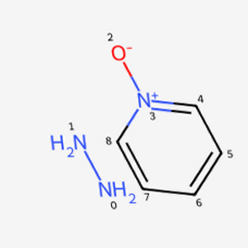 NN.[O-][n+]1ccccc1